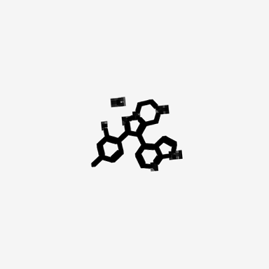 Cc1ccc(-c2nn3c(c2-c2ccnc4[nH]ccc24)CNCC3)c(F)c1.Cl